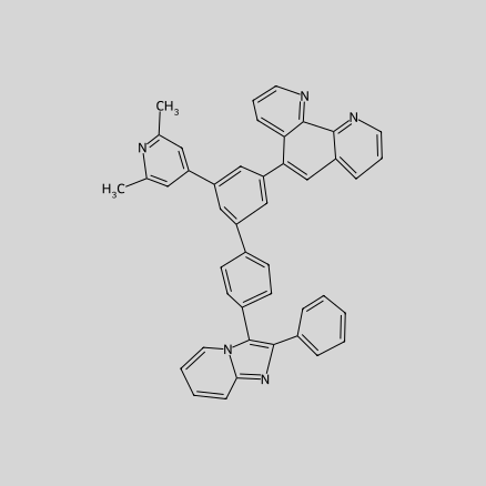 Cc1cc(-c2cc(-c3ccc(-c4c(-c5ccccc5)nc5ccccn45)cc3)cc(-c3cc4cccnc4c4ncccc34)c2)cc(C)n1